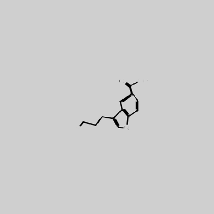 O=C(O)c1ccc2[nH]cc(CCCO)c2c1